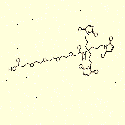 O=C(O)CCOCCOCCOCCOCC(=O)NC(CCCN1C(=O)C=CC1=O)(CCCN1C(=O)C=CC1=O)CCCN1C(=O)C=CC1=O